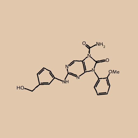 COc1ccccc1-n1c(=O)n(C(N)=O)c2cnc(Nc3cccc(CO)c3)nc21